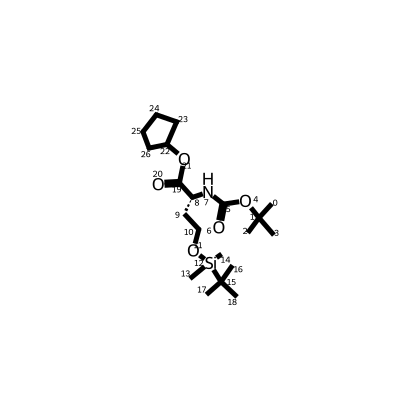 CC(C)(C)OC(=O)N[C@H](CCO[Si](C)(C)C(C)(C)C)C(=O)OC1CCCC1